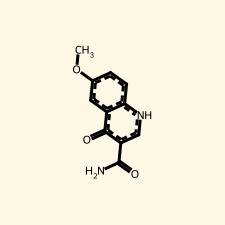 COc1ccc2[nH]cc(C(N)=O)c(=O)c2c1